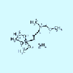 COCN(C)CCC[Si](OC)(OC)OC.[SiH4]